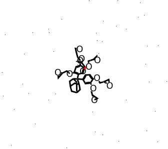 c1c(OCC2CO2)c(OCC2CO2)cc(C2(c3cc(OCC4CO4)c(OCC4CO4)cc3OCC3CO3)C3CC4CC(C3)CC2C4)c1OCC1CO1